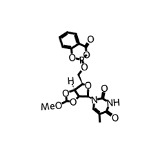 COC1OC2[C@@H](O1)[C@@H](COP1OC(=O)c3ccccc3O1)O[C@H]2n1cc(C)c(=O)[nH]c1=O